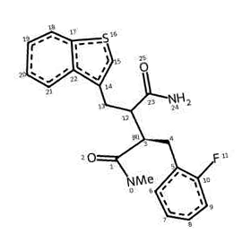 CNC(=O)[C@H](Cc1ccccc1F)C(Cc1csc2ccccc12)C(N)=O